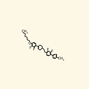 CCCCCCCOc1ccc(C2=CCC(CCc3ccc(-c4ccc(C)cc4)c(F)c3F)CC2)c(F)c1F